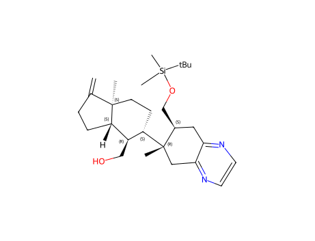 C=C1CC[C@H]2[C@H](CO)[C@@H]([C@@]3(C)Cc4nccnc4C[C@@H]3CO[Si](C)(C)C(C)(C)C)CC[C@]12C